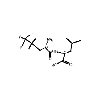 CC(C)C[C@H](NC(=O)[C@@H](N)CC(C)(C)C(F)(F)F)C(=O)O